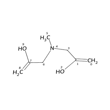 C=C(O)CN(C)CC(=C)O